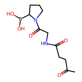 CC(=O)CCC(=O)NCC(=O)N1CCCC1B(O)O